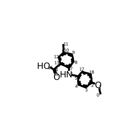 COc1ccc(Nc2ccc(C)cc2C(=O)O)cc1